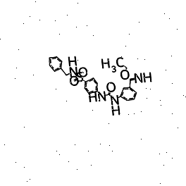 CCOC(=N)c1cccc(NC(=O)Nc2ccc(S(=O)(=O)NCc3ccccc3)cc2)c1